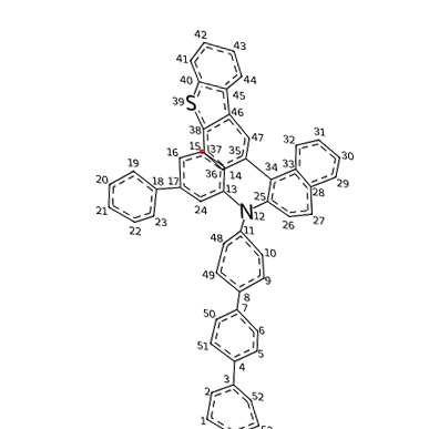 c1ccc(-c2ccc(-c3ccc(N(c4cccc(-c5ccccc5)c4)c4ccc5ccccc5c4-c4ccc5sc6ccccc6c5c4)cc3)cc2)cc1